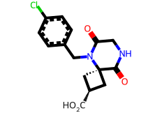 O=C1CNC(=O)[C@]2(C[C@H](C(=O)O)C2)N1Cc1ccc(Cl)cc1